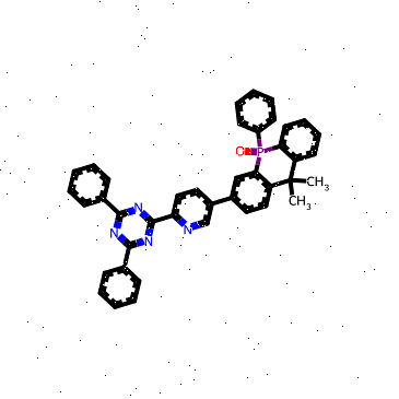 CC1(C)c2ccccc2P(=O)(c2ccccc2)c2cc(-c3ccc(-c4nc(-c5ccccc5)nc(-c5ccccc5)n4)nc3)ccc21